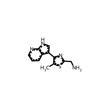 Cc1sc(CN)nc1-c1c[nH]c2ncccc12